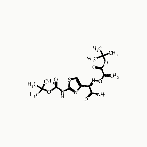 C=C(ON=C(C([NH])=O)c1csc(NC(=O)OC(C)(C)C)n1)C(=O)OC(C)(C)C